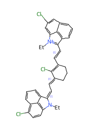 CCn1/c(=C/C=C2\CCCC(/C=C/C3=[N+](CC)c4cc(Cl)cc5cccc3c45)=C2Cl)c2cccc3c(Cl)ccc1c32